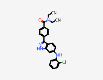 N#CCN(CC#N)C(=O)c1ccc(-c2n[nH]c3cc(Nc4ccccc4Cl)ccc23)cc1